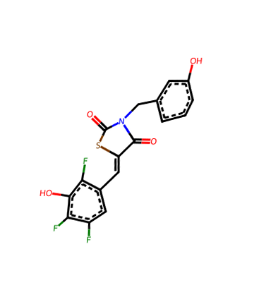 O=C1SC(=Cc2cc(F)c(F)c(O)c2F)C(=O)N1Cc1cccc(O)c1